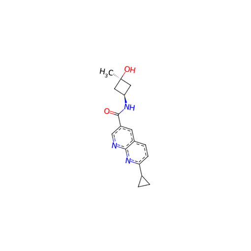 C[C@]1(O)C[C@@H](NC(=O)c2cnc3nc(C4CC4)ccc3c2)C1